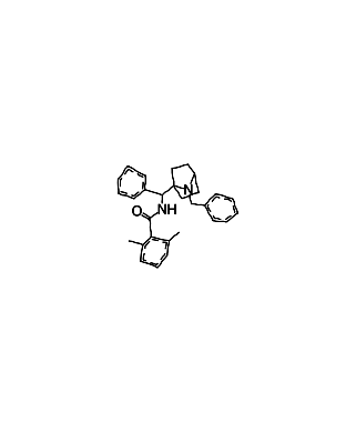 Cc1cccc(C)c1C(=O)NC(c1ccccc1)C12CCC(CC1)N2Cc1ccccc1